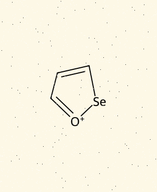 c1c[o+][se]c1